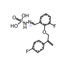 C=C(COc1c(F)cccc1/C=N/NP(=O)(O)O)c1ccc(F)cc1